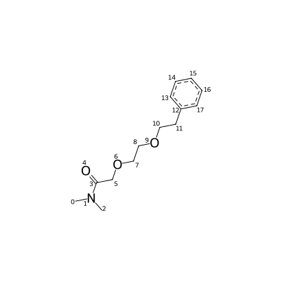 CN(C)C(=O)COCCOCCc1ccccc1